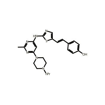 CCCN1CCN(c2cc(Nc3ncc(/C=C/c4ccc(O)cc4)s3)nc(C)n2)CC1